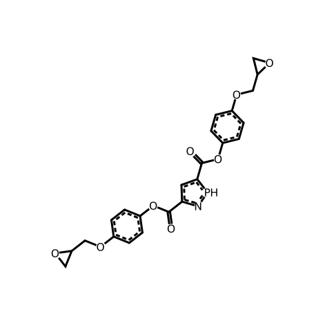 O=C(Oc1ccc(OCC2CO2)cc1)c1cc(C(=O)Oc2ccc(OCC3CO3)cc2)[pH]n1